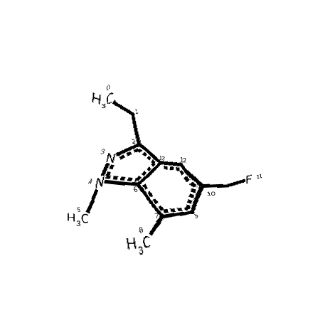 CCc1nn(C)c2c(C)cc(F)cc12